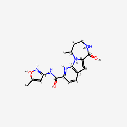 Cc1cc(NC(=O)c2ccc3cc4n(c3n2)C(C)CCNC4=O)no1